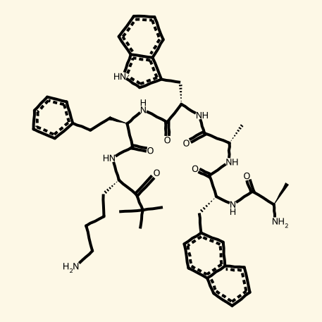 C[C@H](NC(=O)[C@@H](Cc1ccc2ccccc2c1)NC(=O)[C@@H](C)N)C(=O)N[C@@H](Cc1c[nH]c2ccccc12)C(=O)N[C@H](CCc1ccccc1)C(=O)N[C@@H](CCCCN)C(=O)C(C)(C)C